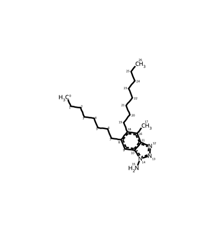 CCCCCCCCc1cc2c(nnn2N)c(C)c1CCCCCCCC